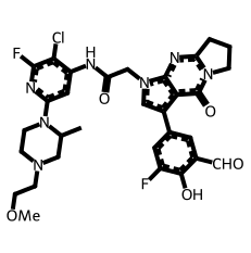 COCCN1CCN(c2cc(NC(=O)Cn3cc(-c4cc(F)c(O)c(C=O)c4)c4c(=O)n5c(nc43)CCC5)c(Cl)c(F)n2)C(C)C1